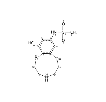 CS(=O)(=O)Nc1ccc2c(c1)OCCNCCO2.Cl